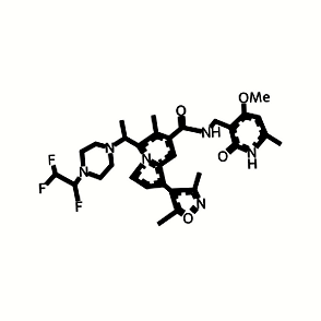 COc1cc(C)[nH]c(=O)c1CNC(=O)c1cc2c(-c3c(C)noc3C)ccn2c(C(C)N2CCN(C(F)C(F)F)CC2)c1C